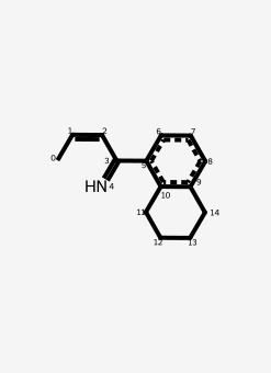 C/C=C\C(=N)c1cccc2c1CCCC2